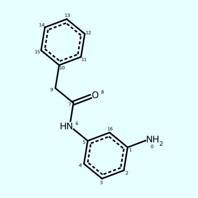 Nc1cccc(NC(=O)Cc2ccccc2)c1